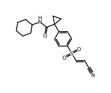 N#CC=CS(=O)(=O)c1ccc(C2(C(=O)NC3CCCCC3)CC2)cc1